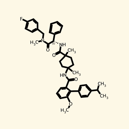 COc1cccc(C(=O)NC2(C)CCC(C)(C(=O)N[C@H](C(=O)N(C)Cc3ccc(F)cc3)c3ccccc3)CC2)c1-c1ccc(C(C)C)cc1